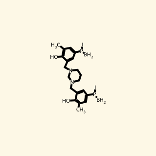 BP(I)c1cc(C)c(O)c(CN2CCCN(Cc3cc(P(B)I)cc(C)c3O)C2)c1